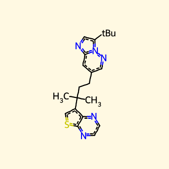 CC(C)(C)c1cnc2cc(CCC(C)(C)c3csc4nccnc34)cnn12